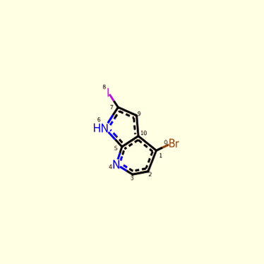 Brc1ccnc2[nH]c(I)cc12